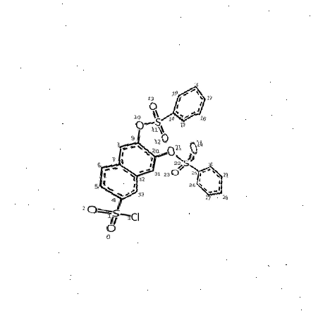 O=S(=O)(Cl)c1ccc2cc(OS(=O)(=O)c3ccccc3)c(OS(=O)(=O)c3ccccc3)cc2c1